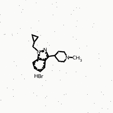 Br.CN1CCC(c2nn(CC3CC3)c3ccccc23)CC1